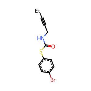 CCC#CCNC(=O)Sc1ccc(Br)cc1